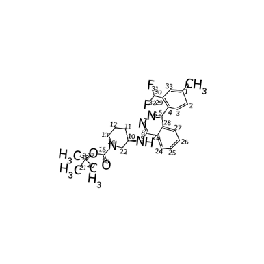 Cc1ccc(-c2nnc(N[C@@H]3CCCN(C(=O)OC(C)(C)C)C3)c3ccccc23)c(C(F)F)c1